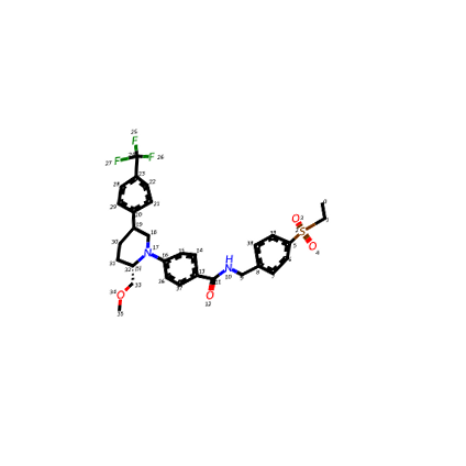 CCS(=O)(=O)c1ccc(CNC(=O)c2ccc(N3CC(c4ccc(C(F)(F)F)cc4)CC[C@H]3COC)cc2)cc1